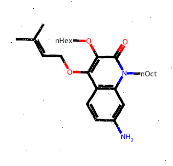 CCCCCCCCn1c(=O)c(OCCCCCC)c(OCC=C(C)C)c2ccc(N)cc21